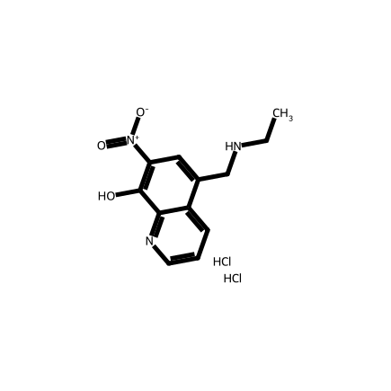 CCNCc1cc([N+](=O)[O-])c(O)c2ncccc12.Cl.Cl